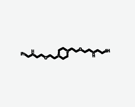 CC(C)CNCCOCCN1CCN(CCOCCNCCS)CC1